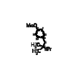 COc1ccc(CC(C)(C)C(C)C)cc1